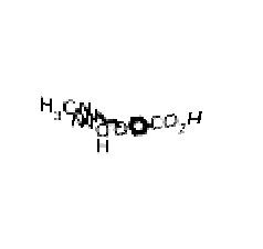 Cc1nnn(C[C@@H](O)COc2ccc(C(=O)O)cc2)n1